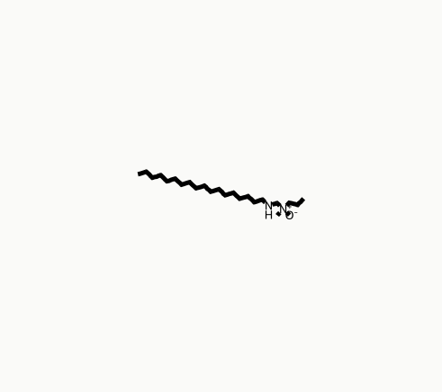 CCCCCCCCCCCCCCCCCCNC[N+](C)([O-])CCC